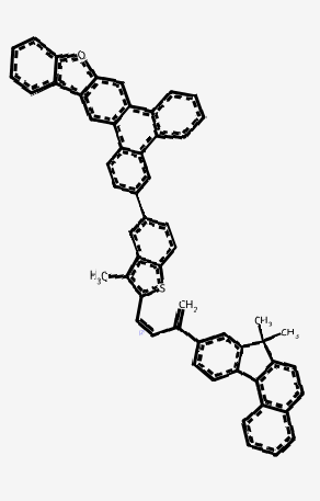 C=C(/C=C\c1sc2ccc(-c3ccc4c(c3)c3ccccc3c3cc5oc6ccccc6c5cc43)cc2c1C)c1ccc2c(c1)C(C)(C)c1ccc3ccccc3c1-2